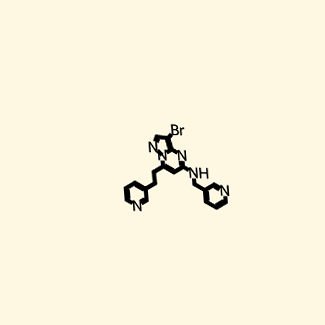 Brc1cnn2c(CCc3cccnc3)cc(NCc3cccnc3)nc12